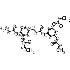 C=CC(=O)Oc1cc(OC(=O)C=C)cc(OC(=O)/C=C/c2ccc(OC(=O)C=C)c(OC(=O)C=C)c2)c1